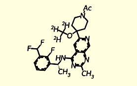 [2H]C([2H])([2H])OC1(c2cc3c(N[C@H](C)c4cccc(C(F)F)c4F)nc(C)nc3cn2)CCN(C(C)=O)CC1